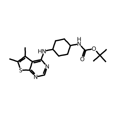 Cc1sc2ncnc(NC3CCC(NC(=O)OC(C)(C)C)CC3)c2c1C